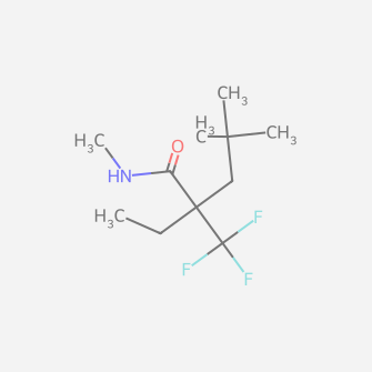 CCC(CC(C)(C)C)(C(=O)NC)C(F)(F)F